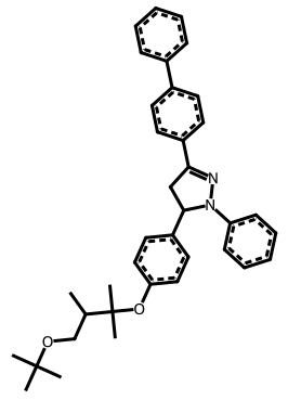 CC(COC(C)(C)C)C(C)(C)Oc1ccc(C2CC(c3ccc(-c4ccccc4)cc3)=NN2c2ccccc2)cc1